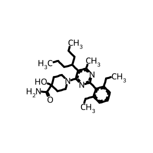 CCCC(CCC)c1c(C)nc(-c2c(CC)cccc2CC)nc1N1CCC(O)(C(N)=O)CC1